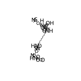 Cc1ncc(-c2ccc3nc(NC(=O)CCCCCCCCCCC(=O)N[C@H](C(=O)N4C[C@H](O)C[C@H]4C(=O)NCc4ccc(-c5scnc5C)cc4)C(C)(C)C)sc3c2)cc1NC(=O)OC1CCOCC1